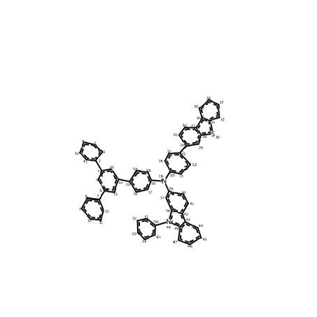 c1ccc(-c2cc(-c3ccccc3)cc(-c3ccc(N(c4ccc(-c5ccc6c(c5)sc5ccccc56)cc4)c4ccc5c6ccccc6n(-c6ccccc6)c5c4)cc3)c2)cc1